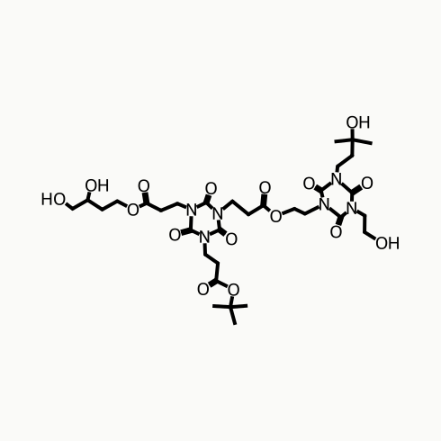 CC(C)(O)CCn1c(=O)n(CCO)c(=O)n(CCOC(=O)CCn2c(=O)n(CCC(=O)OCCC(O)CO)c(=O)n(CCC(=O)OC(C)(C)C)c2=O)c1=O